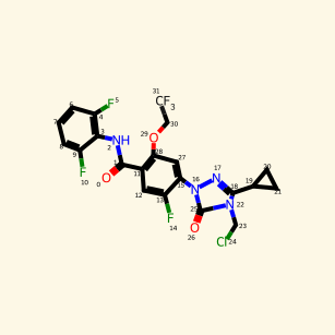 O=C(Nc1c(F)cccc1F)c1cc(F)c(-n2nc(C3CC3)n(CCl)c2=O)cc1OCC(F)(F)F